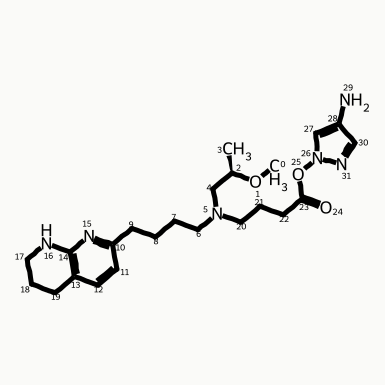 CO[C@H](C)CN(CCCCc1ccc2c(n1)NCCC2)CCCC(=O)On1cc(N)cn1